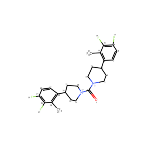 O=C(N1CCC(c2ccc(F)c(F)c2C(F)(F)F)CC1)N1CCC(c2ccc(F)c(F)c2C(F)(F)F)CC1